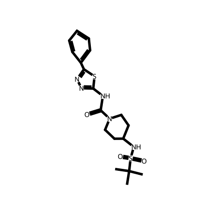 CC(C)(C)S(=O)(=O)NC1CCN(C(=O)Nc2nnc(-c3ccccc3)s2)CC1